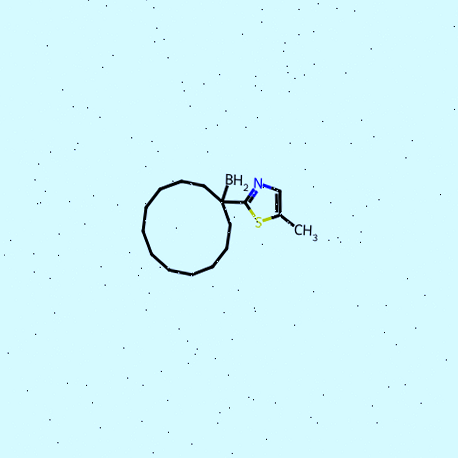 BC1(c2ncc(C)s2)CCCCCCCCCCC1